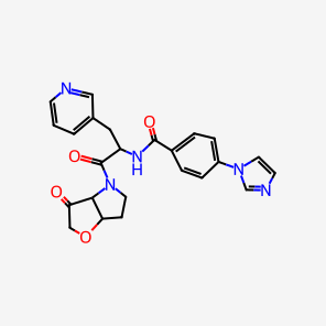 O=C(NC(Cc1cccnc1)C(=O)N1CCC2OCC(=O)C21)c1ccc(-n2ccnc2)cc1